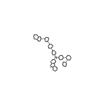 c1ccc(-c2ccccc2-c2ccc(N(c3ccc(-c4ccc(-c5cccc(-c6ccc7ccccc7c6)c5)cc4)cc3)c3ccc4sc5ccccc5c4c3)cc2)cc1